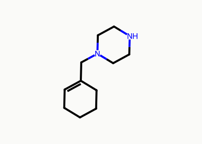 C1=C(CN2CCNCC2)CCCC1